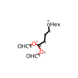 CCCCCCCCCC(OC=O)OC=O